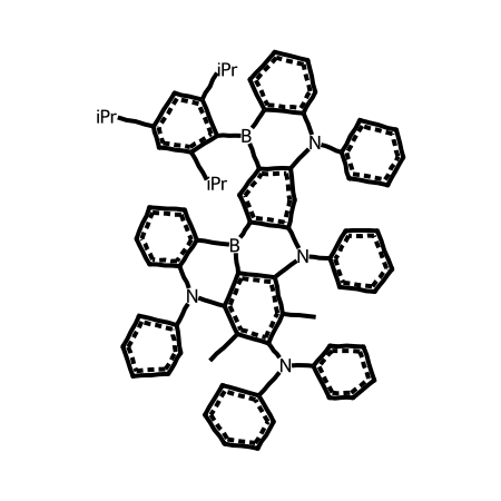 Cc1c(N(c2ccccc2)c2ccccc2)c(C)c2c3c1N(c1ccccc1)c1ccccc1B3c1cc3c(cc1N2c1ccccc1)N(c1ccccc1)c1ccccc1B3c1c(C(C)C)cc(C(C)C)cc1C(C)C